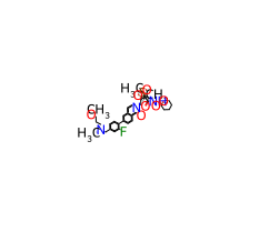 COCCCN(C)Cc1ccc(-c2ccc3c(=O)n(CC[C@](C)(C(=O)NOC4CCCCO4)S(C)(=O)=O)ccc3c2)c(F)c1